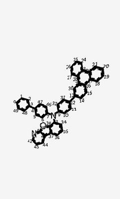 c1ccc(-c2ccc(N(c3ccc(-c4ccc5c6ccccc6c6ccccc6c5c4)cc3)c3cccc4c3oc3ncccc34)cc2)cc1